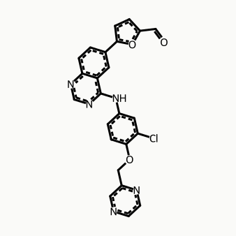 O=Cc1ccc(-c2ccc3ncnc(Nc4ccc(OCc5cnccn5)c(Cl)c4)c3c2)o1